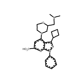 CN(C)CC1CN(c2cc(C(=O)O)nc3c2c(C2CCC2)nn3-c2ccccc2)CCO1